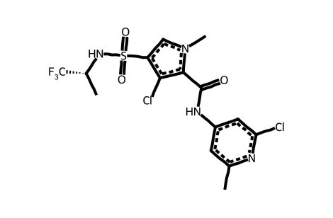 Cc1cc(NC(=O)c2c(Cl)c(S(=O)(=O)N[C@H](C)C(F)(F)F)cn2C)cc(Cl)n1